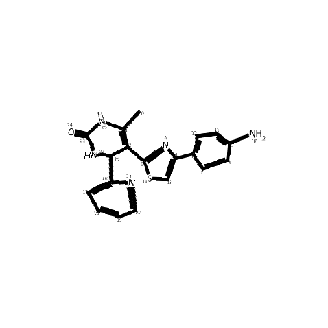 CC1=C(c2nc(-c3ccc(N)cc3)cs2)C(c2ccccn2)NC(=O)N1